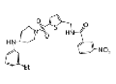 CCc1cccc(NC2CCN(S(=O)(=O)c3ccc(CNC(=O)c4cccc([N+](=O)[O-])c4)s3)CC2)c1